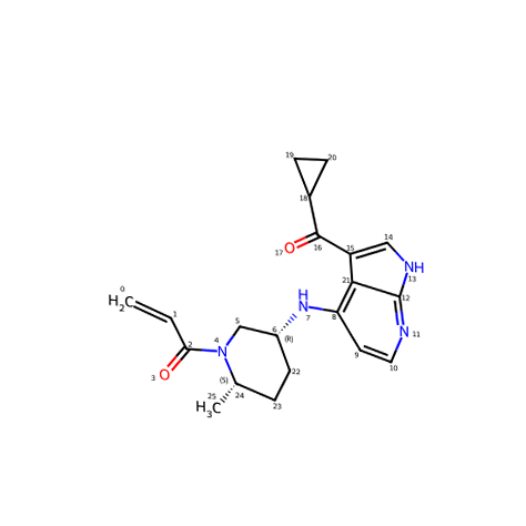 C=CC(=O)N1C[C@H](Nc2ccnc3[nH]cc(C(=O)C4CC4)c23)CC[C@@H]1C